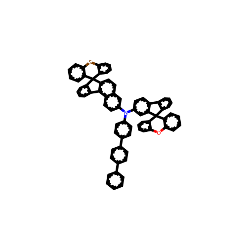 c1ccc(-c2ccc(-c3ccc(N(c4ccc5c(c4)C4(c6ccccc6Oc6ccccc64)c4ccccc4-5)c4ccc5c6c(ccc5c4)C4(c5ccccc5Sc5ccccc54)c4ccccc4-6)cc3)cc2)cc1